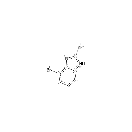 CCCc1nc2c(Br)cccc2[nH]1